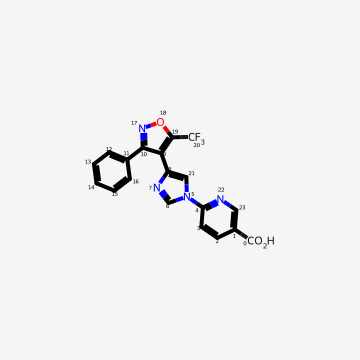 O=C(O)c1ccc(-n2cnc(-c3c(-c4ccccc4)noc3C(F)(F)F)c2)nc1